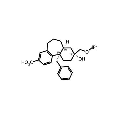 CC(C)OC[C@@]1(O)CC[C@@]2(Cc3ccccc3)c3ccc(C(=O)O)cc3CCC[C@H]2C1